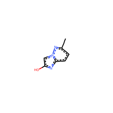 Cc1ccc2nc(O)cn2n1